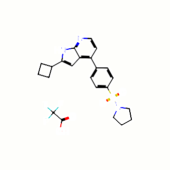 O=C(O)C(F)(F)F.O=S(=O)(c1ccc(-c2ccnc3[nH]c(C4CCC4)cc23)cc1)N1CCCC1